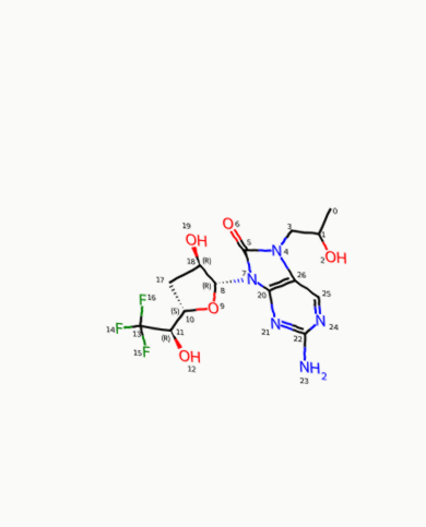 CC(O)Cn1c(=O)n([C@@H]2O[C@H]([C@@H](O)C(F)(F)F)C[C@H]2O)c2nc(N)ncc21